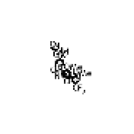 CNC(=O)N(c1ccc(S(=O)(=O)Nc2ccon2)cn1)c1cc(Cl)c(-c2cc(C(F)(F)F)cnc2OC)cc1OC